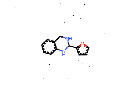 c1coc(C2NCc3ccccc3N2)c1